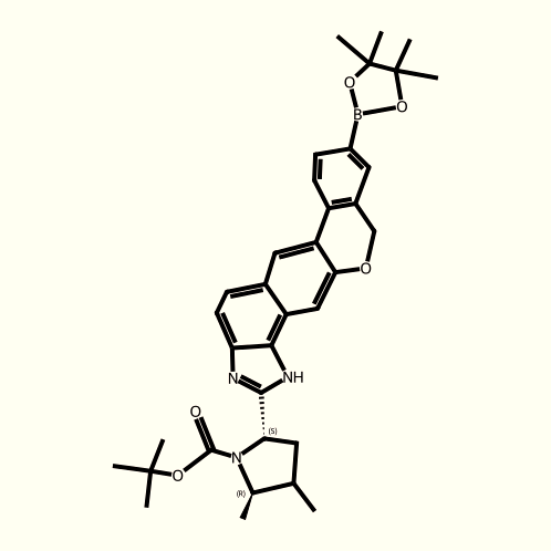 CC1C[C@@H](c2nc3ccc4cc5c(cc4c3[nH]2)OCc2cc(B3OC(C)(C)C(C)(C)O3)ccc2-5)N(C(=O)OC(C)(C)C)[C@@H]1C